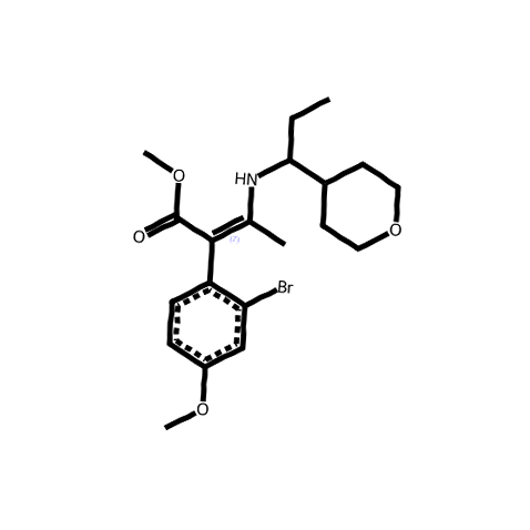 CCC(N/C(C)=C(\C(=O)OC)c1ccc(OC)cc1Br)C1CCOCC1